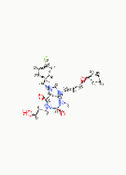 Cn1c2c(c(=O)n(CCCO)c1=O)N(Cc1ccc(F)cc1)CN2C#CCOC1CCCC1